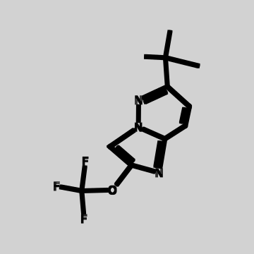 CC(C)(C)c1ccc2nc(OC(F)(F)F)cn2n1